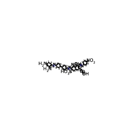 Nc1ccc(/N=N/c2ccc(-c3ccc(/N=N/c4c(S(=O)(=O)O)cc5cc(SOOO)c(/N=N/c6ccc([N+](=O)[O-])cc6)c(O)c5c4N)cc3)cc2)c(N)c1